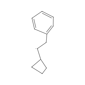 [CH](Cc1ccccc1)C1CCC1